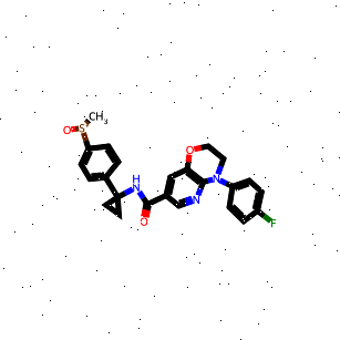 C[S+]([O-])c1ccc(C2(NC(=O)c3cnc4c(c3)OCCN4c3ccc(F)cc3)CC2)cc1